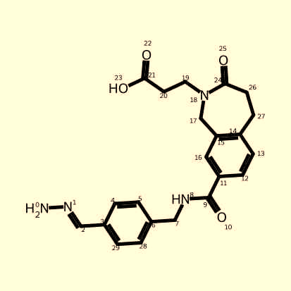 NN=Cc1ccc(CNC(=O)c2ccc3c(c2)CN(CCC(=O)O)C(=O)CC3)cc1